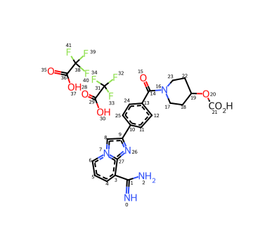 N=C(N)c1cccn2cc(-c3ccc(C(=O)N4CCC(OC(=O)O)CC4)cc3)nc12.O=C(O)C(F)(F)F.O=C(O)C(F)(F)F